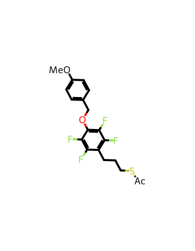 COc1ccc(COc2c(F)c(F)c(CCCSC(C)=O)c(F)c2F)cc1